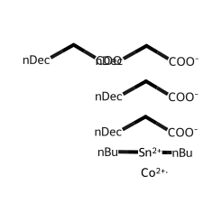 CCCCCCCCCCCC(=O)[O-].CCCCCCCCCCCC(=O)[O-].CCCCCCCCCCCC(=O)[O-].CCCCCCCCCCCC(=O)[O-].CCC[CH2][Sn+2][CH2]CCC.[Co+2]